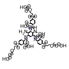 CNc1c(/N=N/c2ccc(S(=O)(=O)CCOSOOO)cc2S(=O)(=O)O)cc(/N=N/c2ccc(S(=O)(=O)CCOSOOO)cc2S(=O)(=O)O)c(N)c1/N=N/c1ccc(S(=O)(=O)CCOS(=O)(=O)O)cc1S(=O)(=O)O